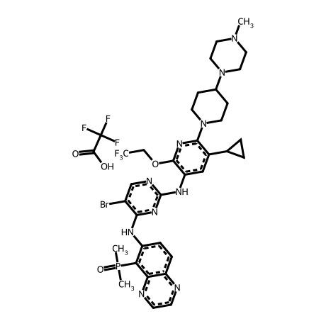 CN1CCN(C2CCN(c3nc(OCC(F)(F)F)c(Nc4ncc(Br)c(Nc5ccc6nccnc6c5P(C)(C)=O)n4)cc3C3CC3)CC2)CC1.O=C(O)C(F)(F)F